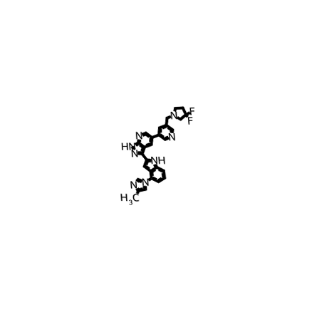 Cc1cn(-c2cccc3[nH]c(-c4n[nH]c5ncc(-c6cncc(CN7CCC(F)(F)C7)c6)cc45)cc23)cn1